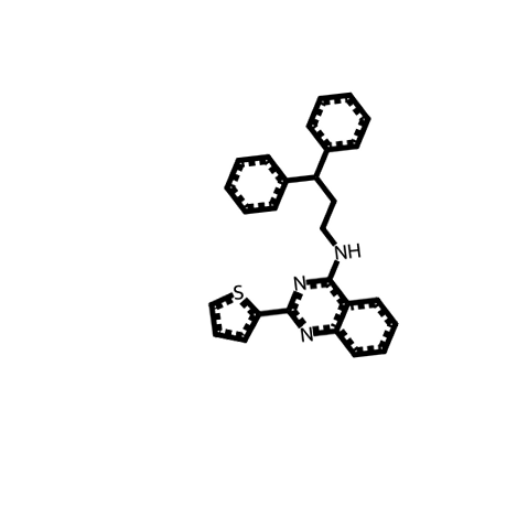 c1ccc(C(CCNc2nc(-c3cccs3)nc3ccccc23)c2ccccc2)cc1